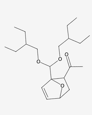 CCC(CC)COC(OCC(CC)CC)C12C=CC(CC1C(C)=O)O2